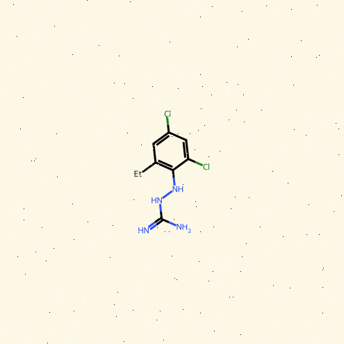 CCc1cc(Cl)cc(Cl)c1NNC(=N)N